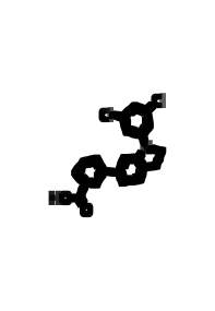 O=C(O)c1cccc(-c2ccc3c(c2)N(c2cc(Cl)cc(Cl)c2)CC3)c1